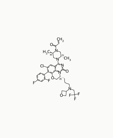 C=CC(=O)N1C[C@H](C)N(c2nc(=O)n3c4c(c(-c5ccc(F)cc5F)c(Cl)cc24)OC[C@H]3CCCN(CC(F)(F)F)C2COC2)C[C@H]1C